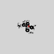 COc1ccc(C[C@](NC(=O)c2ccc(F)c(C(F)(F)F)c2)(c2cc(F)cc(OC(F)(F)C(F)F)c2)c2ccc(F)c(C(F)(F)F)c2)cc1